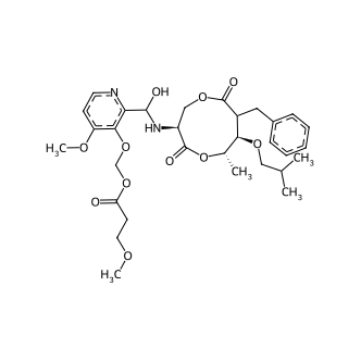 COCCC(=O)OCOc1c(OC)ccnc1C(O)N[C@H]1COC(=O)C(Cc2ccccc2)[C@@H](OCC(C)C)[C@H](C)OC1=O